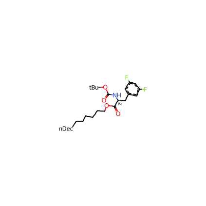 CCCCCCCCCCCCCCCCOC(=O)[C@H](Cc1cc(F)cc(F)c1)NC(=O)OC(C)(C)C